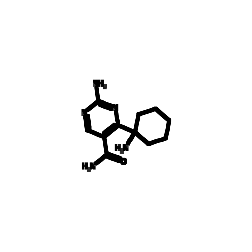 NC(=O)c1cnc(N)nc1C1(N)CCCCC1